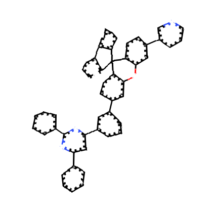 c1ccc(-c2cc(-c3cccc(-c4ccc5c(c4)Oc4cc(-c6cccnc6)ccc4C54c5ccccc5-c5ccccc54)c3)nc(-c3ccccc3)n2)cc1